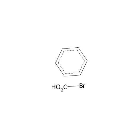 O=C(O)Br.c1ccccc1